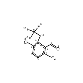 O=Cc1c(F)ccc(Cl)c1CC(F)(F)F